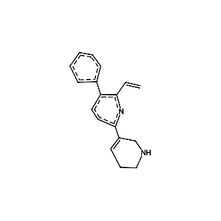 C=Cc1nc(C2=CCCNC2)ccc1-c1ccccc1